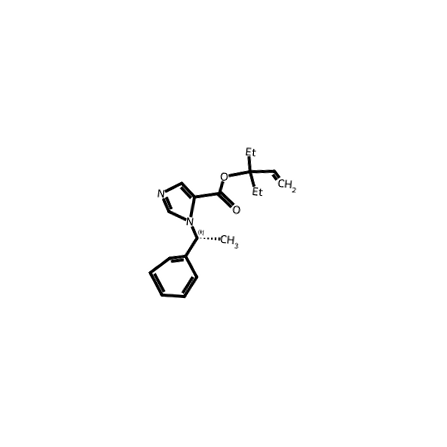 C=CC(CC)(CC)OC(=O)c1cncn1[C@H](C)c1ccccc1